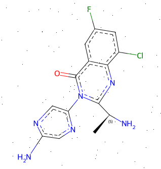 C[C@H](N)c1nc2c(Cl)cc(F)cc2c(=O)n1-c1cnc(N)cn1